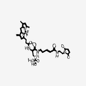 CC1=CC(CCC(=O)NC(COP(=O)(O)O)C(=O)NCCCCC(=O)NCCN2C(=O)C=CC2=O)=[N+]2C1=Cc1c(C)cc(C)n1[B-]2(F)F